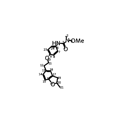 CON(C)C(=O)Nc1ccc(OCCc2ccc3c(c2)CC(C)O3)cc1